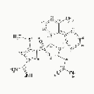 CSc1sc(C(=N)N)cc1S(=O)(=O)C(OCCC(=O)O)c1cccc(C)c1-c1ccccc1